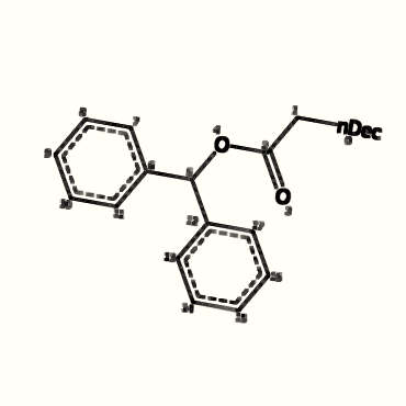 CCCCCCCCCCCC(=O)OC(c1ccccc1)c1ccccc1